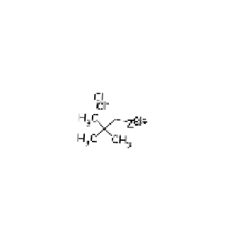 CC(C)(C)[CH2][Zr+3].[Cl-].[Cl-].[Cl-]